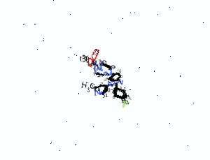 Cc1cc(-n2c(-c3ccc(F)cc3)nc3ccc(N4CCN(C(=O)OC(C)(C)C)CC4)cc32)ccn1